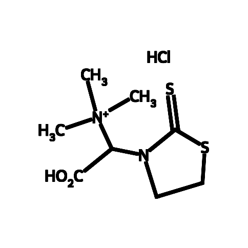 C[N+](C)(C)C(C(=O)O)N1CCSC1=S.Cl